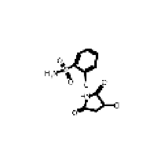 NS(=O)(=O)c1ccccc1Cl.O=C1CC(Cl)C(=O)N1